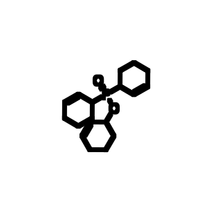 O=P(OC1C=CCCC1)(C1C=CCCC1)C1C=CCCC1